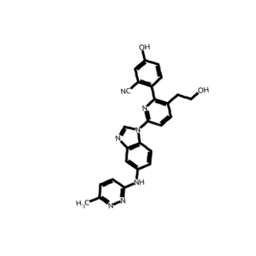 Cc1ccc(Nc2ccc3c(c2)ncn3-c2ccc(CCO)c(-c3ccc(O)cc3C#N)n2)nn1